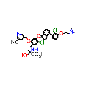 CN(C)CCCOc1cccc(-c2cccc3c2CC[C@@H]3Oc2cc(OCc3cncc(C#N)c3)c(CN[C@@](C)(CO)C(=O)O)cc2Cl)c1Cl